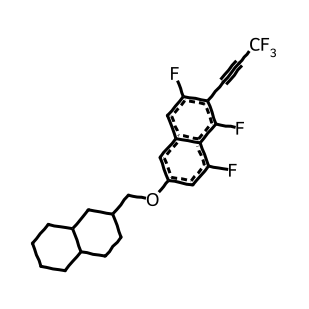 Fc1cc2cc(OCC3CCC4CCCCC4C3)cc(F)c2c(F)c1C#CC(F)(F)F